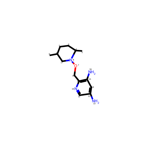 CC1CCC(C)N(OCc2ncc(N)cc2N)C1